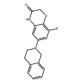 O=C1COc2c(F)cc(N3CCc4ccccc4C3)cc2N1